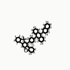 CC1(C)c2ccccc2-c2cc3oc4ccccc4c3c(-c3ccc(-c4c5ccccc5c(-c5ccc6ccccc6c5)c5ccccc45)cc3)c21